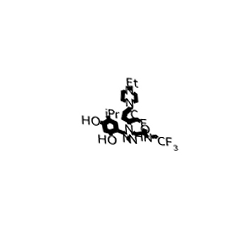 CCN1CCN(c2ccc(-n3c(C(=O)NCC(F)(F)F)nnc3-c3cc(C(C)C)c(O)cc3O)c(F)c2)CC1